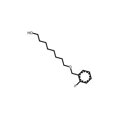 OCCCCCCCCOCc1ccccc1F